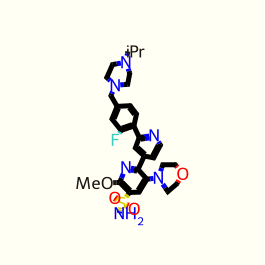 COc1nc(-c2ccnc(-c3ccc(CN4CCN(C(C)C)CC4)cc3F)c2)c(N2CCOCC2)cc1S(N)(=O)=O